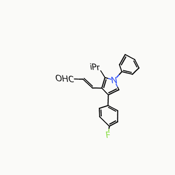 CC(C)c1c(C=CC=O)c(-c2ccc(F)cc2)cn1-c1ccccc1